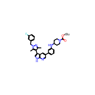 Cc1nn(Cc2cccc(F)c2)c(C)c1-c1c[nH]c2ncc(-c3cccc(NC4CCN(C(=O)OC(C)(C)C)CC4)c3)cc12